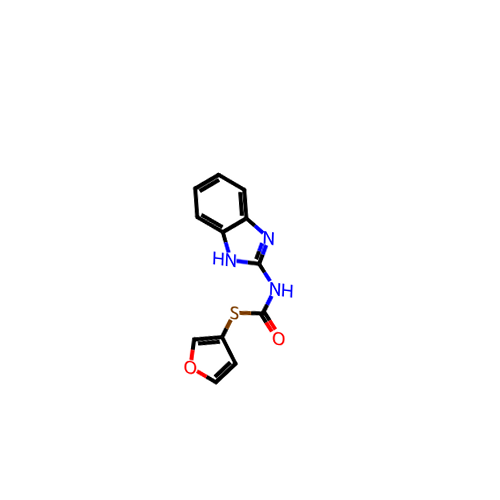 O=C(Nc1nc2ccccc2[nH]1)Sc1ccoc1